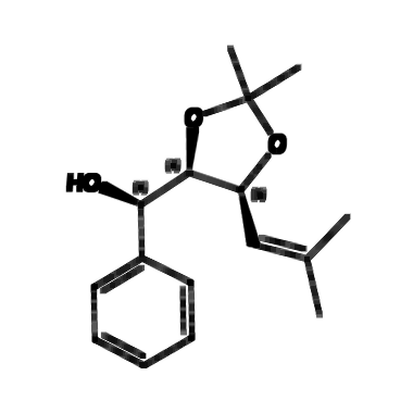 CC(C)=C[C@@H]1OC(C)(C)O[C@@H]1[C@H](O)c1ccccc1